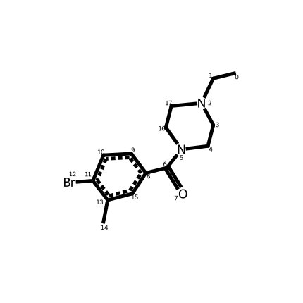 CCN1CCN(C(=O)c2ccc(Br)c(C)c2)CC1